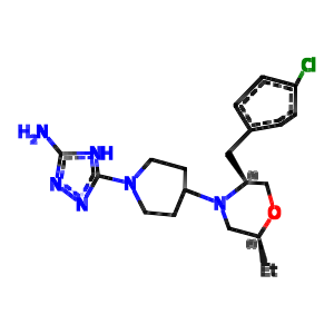 CC[C@H]1CN(C2CCN(c3nnc(N)[nH]3)CC2)[C@@H](Cc2ccc(Cl)cc2)CO1